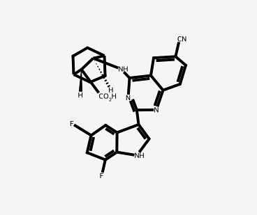 N#Cc1ccc2nc(-c3c[nH]c4c(F)cc(F)cc34)nc(N[C@@H]3C4CCC(CC4)[C@H]3C(=O)O)c2c1